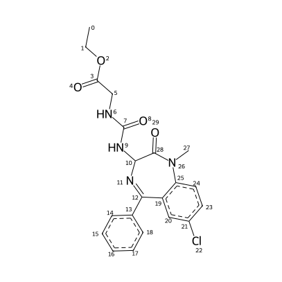 CCOC(=O)CNC(=O)NC1N=C(c2ccccc2)c2cc(Cl)ccc2N(C)C1=O